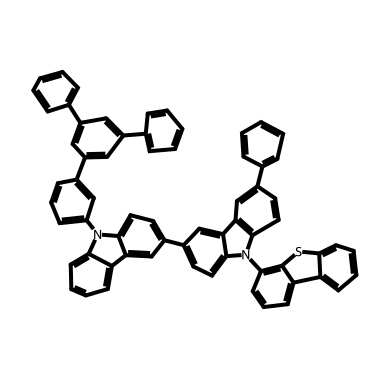 c1ccc(-c2cc(-c3ccccc3)cc(-c3cccc(-n4c5ccccc5c5cc(-c6ccc7c(c6)c6cc(-c8ccccc8)ccc6n7-c6cccc7c6sc6ccccc67)ccc54)c3)c2)cc1